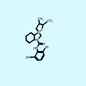 CC(C)c1cccc(C(C)C)c1NC(=O)NCS1(C2CCCCC2)CC(C)C(C)S1